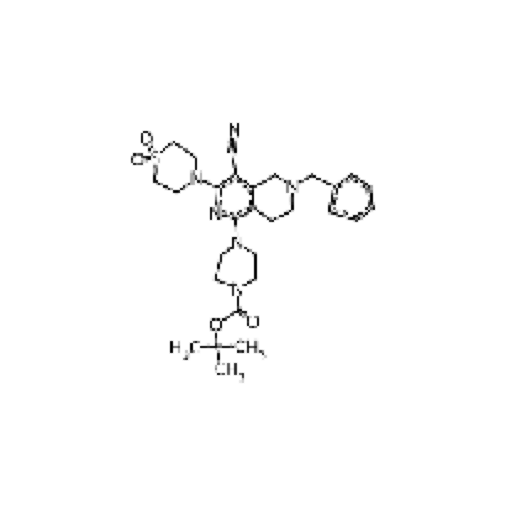 CC(C)(C)OC(=O)N1CCN(c2nc(N3CCS(=O)(=O)CC3)c(C#N)c3c2CCN(Cc2ccccc2)C3)CC1